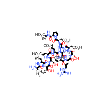 CC(C)C[C@H](NC(=O)[C@H](C)N)C(=O)N[C@H](C(=O)N[C@@H](CO)C(=O)N[C@@H](CCC(=O)O)C(=O)N[C@@H](CCC(=O)O)C(=O)N[C@@H](C)C(=O)N[C@@H](CCC(=O)O)C(=O)N[C@@H](CCCNC(=N)N)C(=O)N[C@@H](CO)C(=O)N[C@@H](CC(=O)O)C(=O)NCC(=O)N[C@@H](CC(=O)O)C(=O)N1CCC[C@H]1C(=O)N[C@H](C(=O)O)C(C)C)[C@@H](C)O